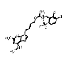 C=C(NCc1c(C(F)(F)F)ccc(Cl)c1Cl)OCCCCn1cnc2c(NC)nc(C)nc21